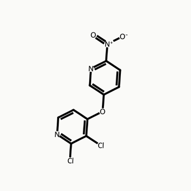 O=[N+]([O-])c1ccc(Oc2ccnc(Cl)c2Cl)cn1